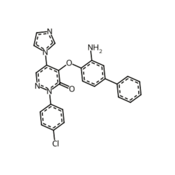 Nc1cc(-c2ccccc2)ccc1Oc1c(-n2ccnc2)cnn(-c2ccc(Cl)cc2)c1=O